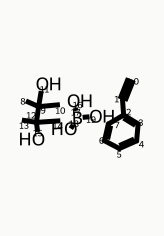 C#Cc1ccccc1.CC(C)(O)C(C)(C)O.OB(O)O